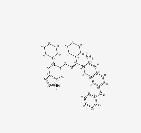 Cc1[nH]ncc1CN(CCC[C@@H](C1CCCCC1)N1Cc2cc(Oc3ccccc3)ccc2N=C1N)C1CCCCC1